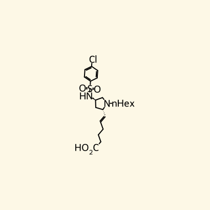 CCCCCCN1C[C@H](NS(=O)(=O)c2ccc(Cl)cc2)C[C@H]1C=CCCCC(=O)O